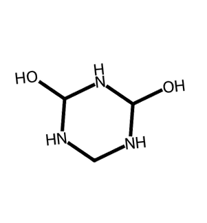 OC1NCNC(O)N1